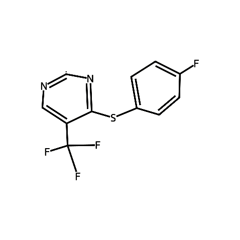 Fc1ccc(Sc2n[c]ncc2C(F)(F)F)cc1